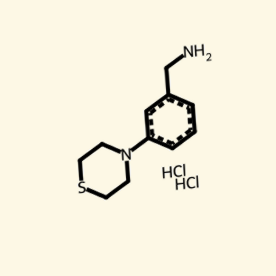 Cl.Cl.NCc1cccc(N2CCSCC2)c1